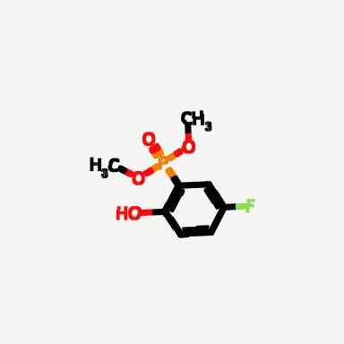 COP(=O)(OC)c1cc(F)ccc1O